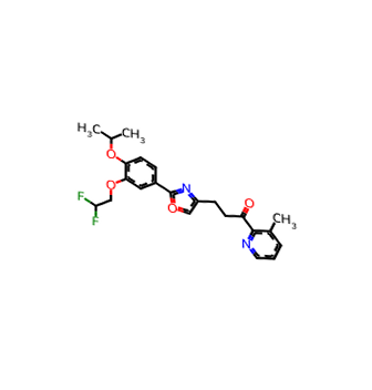 Cc1cccnc1C(=O)CCc1coc(-c2ccc(OC(C)C)c(OCC(F)F)c2)n1